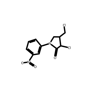 O=C1C(Cl)C(CCl)CN1c1cccc([N+](=O)[O-])c1